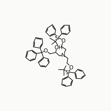 CC(C)(C)[Si](OCCN(CCO[Si](c1ccccc1)(c1ccccc1)C(C)(C)C)CC(O)COC(c1ccccc1)(c1ccccc1)c1ccccc1)(c1ccccc1)c1ccccc1